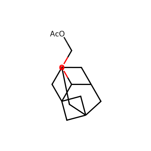 CC(=O)OCOC1C2CC3CC4(C2)CC1(C3)C4